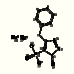 O=C1N=NC(Cc2ccccc2)=C1P(=O)([O-])[O-].[Na+].[Na+]